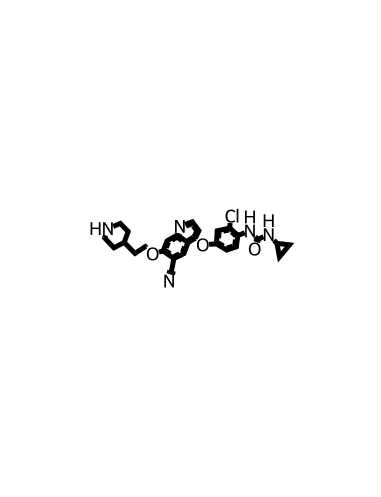 N#Cc1cc2c(Oc3ccc(NC(=O)NC4CC4)c(Cl)c3)ccnc2cc1OCCC1CCNCC1